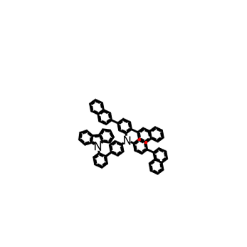 c1ccc(-n2c3ccccc3c3ccccc32)c(-c2ccc(N(c3ccc(-c4cccc5ccccc45)cc3)c3cc(-c4ccc5ccccc5c4)ccc3-c3ccc4ccccc4c3)cc2)c1